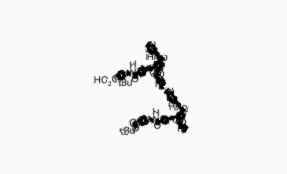 Cn1ccc(CS(=O)(=O)c2ccc(C(=O)NCc3ccn4ccnc4c3)cc2C#Cc2ccc(C(=O)NCCN3CCN(C(=O)O)C(C(C)(C)C)C3)cc2)n1.Cn1ccc(CS(=O)(=O)c2ccc(C(=O)NCc3ccn4ccnc4c3)cc2C#Cc2ccc(C(=O)NCCN3CCN(C(=O)OC(C)(C)C)CC3)cc2)n1